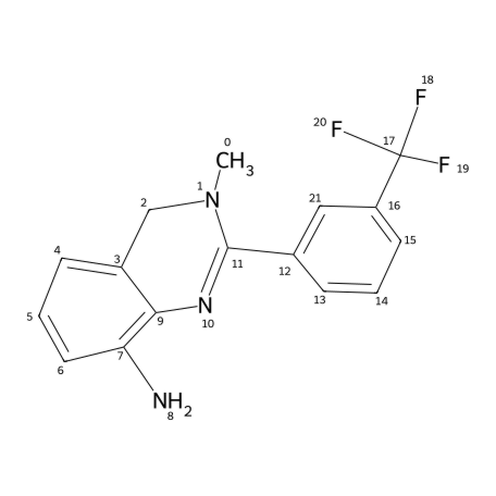 CN1Cc2cccc(N)c2N=C1c1cccc(C(F)(F)F)c1